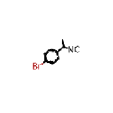 [C-]#[N+]C(C)c1ccc(Br)cc1